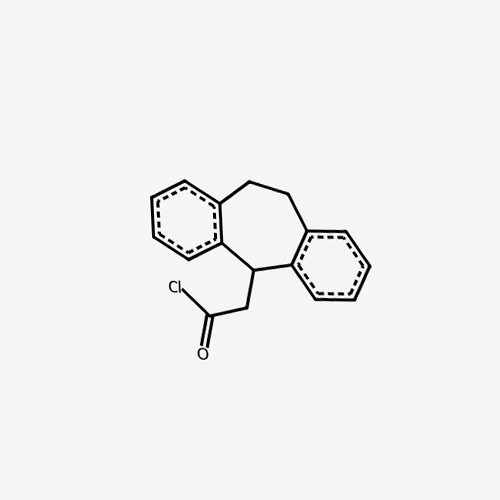 O=C(Cl)CC1c2ccccc2CCc2ccccc21